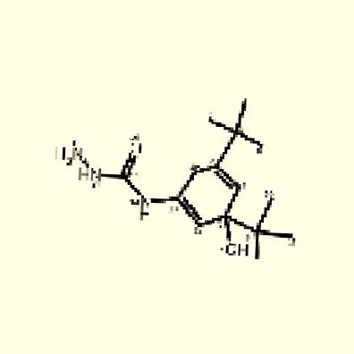 CC(C)(C)C1=CC(O)(C(C)(C)C)C=C(NC(=O)NN)C1